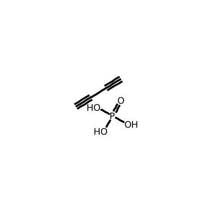 C#CC#C.O=P(O)(O)O